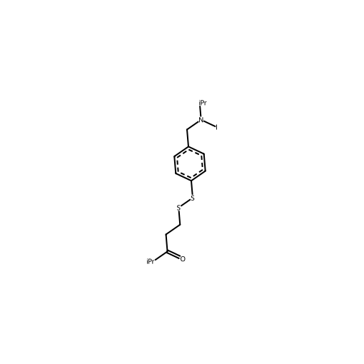 CC(C)C(=O)CCSSc1ccc(CN(I)C(C)C)cc1